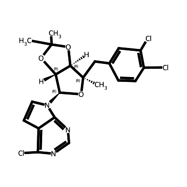 CC1(C)O[C@H]2[C@H](n3ccc4c(Cl)ncnc43)O[C@](C)(Cc3ccc(Cl)c(Cl)c3)[C@@H]2O1